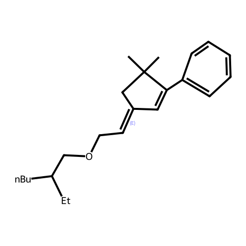 CCCCC(CC)COC/C=C1/C=C(c2ccccc2)C(C)(C)C1